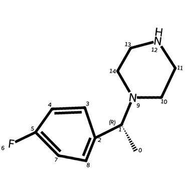 C[C@H](c1ccc(F)cc1)N1CCNCC1